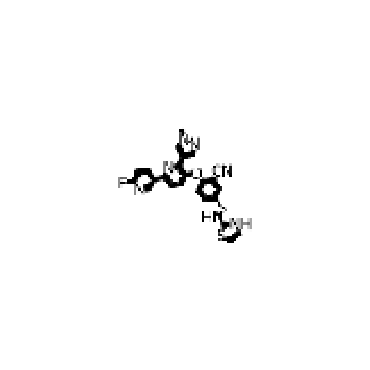 Cn1cc(-c2nc(-c3ccc(F)nc3)ccc2Oc2ccc(SNC3NC=CS3)cc2C#N)cn1